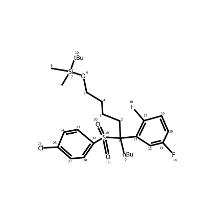 CCCCC(CCCCO[Si](C)(C)C(C)(C)C)(c1cc(F)ccc1F)S(=O)(=O)c1ccc(Cl)cc1